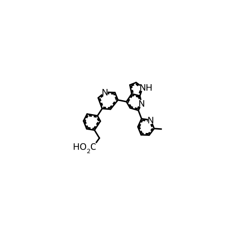 Cc1cccc(-c2cc(-c3cncc(-c4cccc(CC(=O)O)c4)c3)c3cc[nH]c3n2)n1